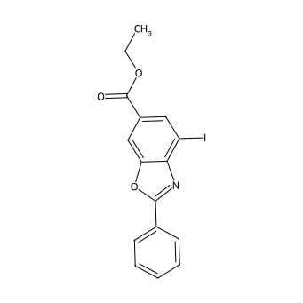 CCOC(=O)c1cc(I)c2nc(-c3ccccc3)oc2c1